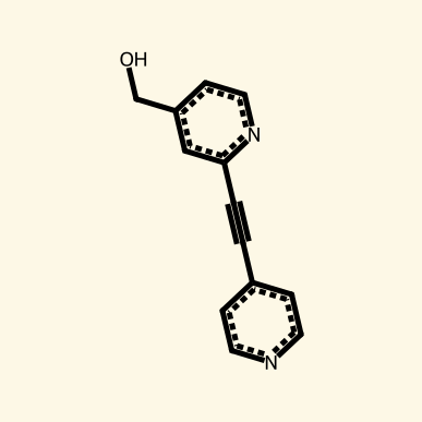 OCc1ccnc(C#Cc2ccncc2)c1